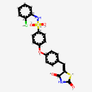 O=C1NC(=O)/C(=C\c2ccc(Oc3ccc(S(=O)(=O)Nc4ccccc4Cl)cc3)cc2)S1